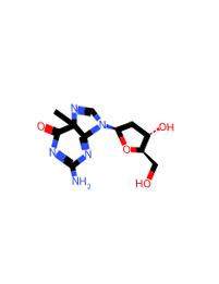 CC12N=CN([C@H]3C[C@H](O)[C@@H](CO)O3)C1=NC(N)=NC2=O